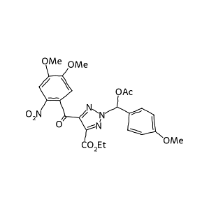 CCOC(=O)c1nn(C(OC(C)=O)c2ccc(OC)cc2)nc1C(=O)c1cc(OC)c(OC)cc1[N+](=O)[O-]